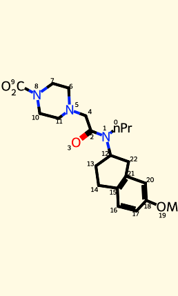 CCCN(C(=O)CN1CCN(C(=O)O)CC1)C1CCc2ccc(OC)cc2C1